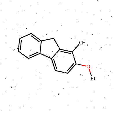 CCOc1ccc2c(c1C)Cc1ccccc1-2